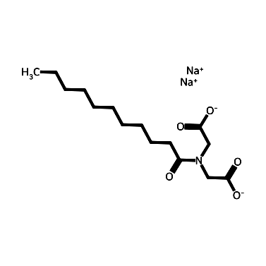 CCCCCCCCCCC(=O)N(CC(=O)[O-])CC(=O)[O-].[Na+].[Na+]